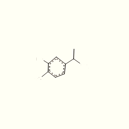 CCOC(=O)C(C)c1ccc(N=O)c(O)c1